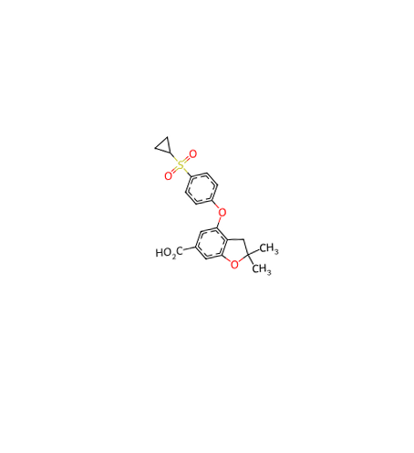 CC1(C)Cc2c(Oc3ccc(S(=O)(=O)C4CC4)cc3)cc(C(=O)O)cc2O1